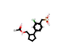 CCC(=O)OCC1CCCC1c1ccc(C[SH](=O)=O)c(Cl)c1